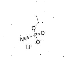 CCOP(=O)([O-])C#N.[Li+]